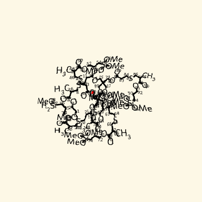 COCCOC(=O)C(C)CSCCC(=O)OCC(COCC(COC(=O)CCSCC(C)C(=O)OCCC[SiH2]OC)(COC(=O)CCSCC(C)C(=O)OCCC[Si](OC)(OC)OC)COC(=O)CCSCC(C)C(=O)OCCC[Si](OC)(OC)OC)(COC(=O)CCSCC(C)C(=O)OCCC[Si](OC)(OC)OC)COC(=O)CCSCC(C)C(=O)OCCC[Si](OC)(OC)OC